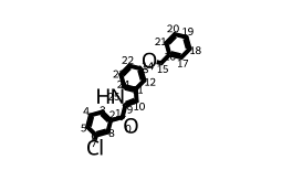 O=C(c1cccc(Cl)c1)c1cc2cc(OCc3ccccc3)ccc2[nH]1